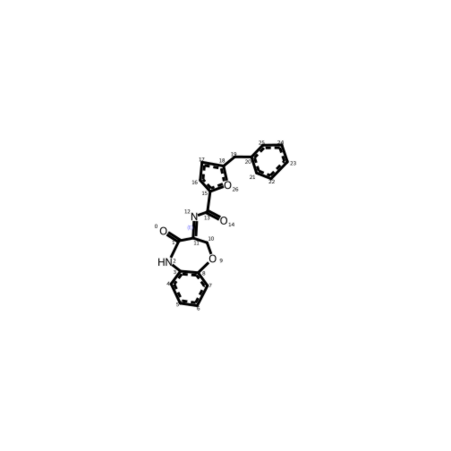 O=C1Nc2ccccc2OC/C1=N\C(=O)c1ccc(Cc2ccccc2)o1